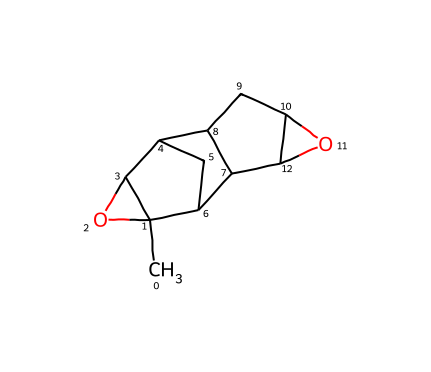 CC12OC1C1CC2C2C1CC1OC12